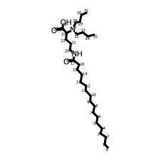 CCCCCCCCCCCCCCCCCC(=O)NCCCC(C(=O)O)N(CCCC)CCCC